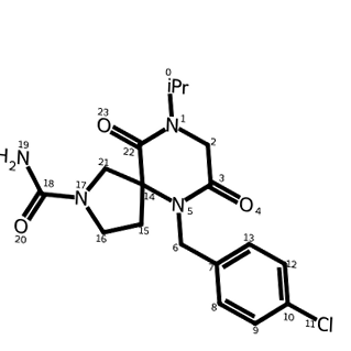 CC(C)N1CC(=O)N(Cc2ccc(Cl)cc2)C2(CCN(C(N)=O)C2)C1=O